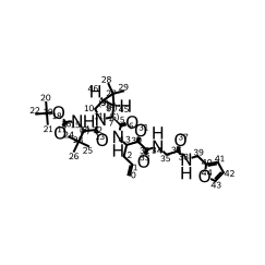 C=CCC(NC(=O)[C@@H]1[C@@H]2[C@H](CN1C(=O)[C@@H](NC(=O)OC(C)(C)C)C(C)(C)C)C2(C)C)C(=O)C(=O)NCC(=O)NCc1ccco1